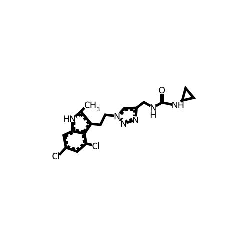 Cc1[nH]c2cc(Cl)cc(Cl)c2c1CCn1cc(CNC(=O)NC2CC2)nn1